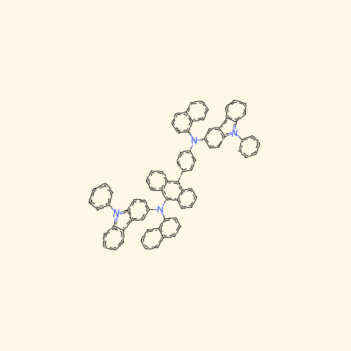 c1ccc(-n2c3ccccc3c3cc(N(c4ccc(-c5c6ccccc6c(N(c6ccc7c(c6)c6ccccc6n7-c6ccccc6)c6cccc7ccccc67)c6ccccc56)cc4)c4cccc5ccccc45)ccc32)cc1